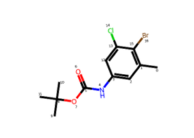 Cc1cc(NC(=O)OC(C)(C)C)cc(Cl)c1Br